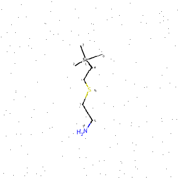 C[Si](C)(C)CCSCCN